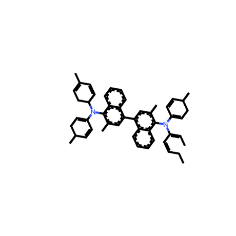 C/C=C(\C=C/CC)N(C1=CCC(C)C=C1)c1c(C)cc(-c2cc(C)c(N(C3=CCC(C)C=C3)C3C=CC(C)=CC3)c3ccccc23)c2ccccc12